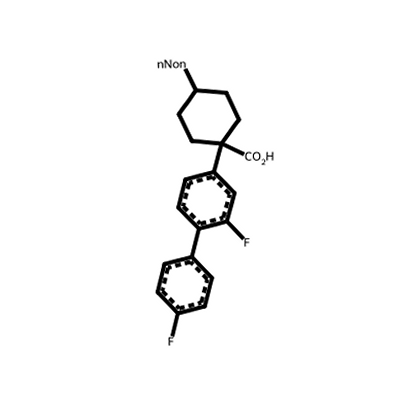 CCCCCCCCCC1CCC(C(=O)O)(c2ccc(-c3ccc(F)cc3)c(F)c2)CC1